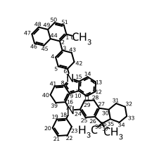 CC1=C(C2=CC=C(n3c4c(c5ccccc53)=C(N(C3=CC=CCC3)C3=CC5=C(CC3)C3CCCCC3C5(C)C)CCC=4)CC2)C2C=CC=CC2C=C1